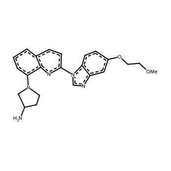 COCCOc1ccc2c(c1)ncn2-c1ccc2cccc(N3CCC(N)C3)c2n1